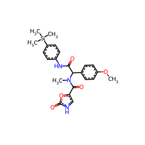 COc1ccc(C(C(=O)Nc2ccc([Si](C)(C)C)cc2)N(C)C(=O)c2c[nH]c(=O)o2)cc1